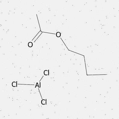 CCCCOC(C)=O.[Cl][Al]([Cl])[Cl]